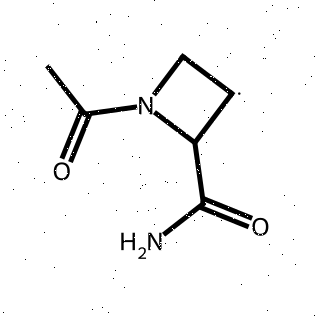 CC(=O)N1C[CH]C1C(N)=O